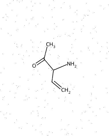 C=C[C](N)C(C)=O